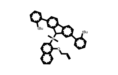 C=CCOc1c([Si](C)(C)C2c3cc(-c4ccccc4C(C)(C)C)ccc3-c3ccc(-c4ccccc4C(C)(C)C)cc32)ccc2ccccc12